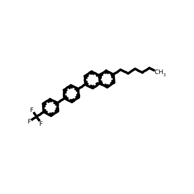 CCCCCCc1ccc2cc(-c3ccc(-c4ccc(C(F)(F)F)cc4)cc3)ccc2c1